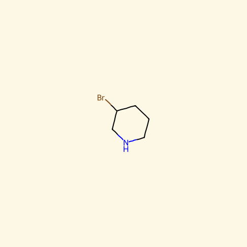 BrC1CCCNC1